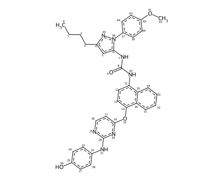 CCCCc1cc(NC(=O)Nc2ccc(Oc3ccnc(Nc4ccc(O)cc4)n3)c3ccccc23)n(-c2ccc(OC)cc2)n1